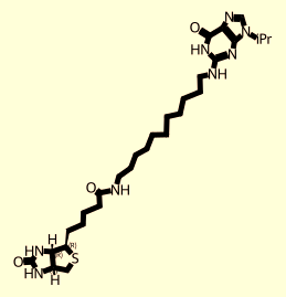 CC(C)n1cnc2c(=O)[nH]c(NCCCCCCCCCCCNC(=O)CCCC[C@H]3SC[C@H]4NC(=O)N[C@H]43)nc21